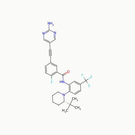 CC(C)(C)[C@@H]1[CH]CCCN1c1ccc(C(F)(F)F)cc1NC(=O)c1cc(C#Cc2cnc(N)nc2)ccc1F